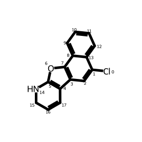 Clc1cc2c3c(oc2c2ccccc12)NCC=C3